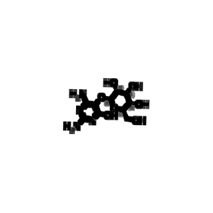 Nc1nc(N)c(O[C@H]2O[C@H](CO)[C@@H](O)[C@H](O)[C@H]2O)c(O)n1